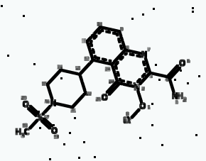 CCOn1c(C(N)=O)nc2cccc(C3CCN(S(C)(=O)=O)CC3)c2c1=O